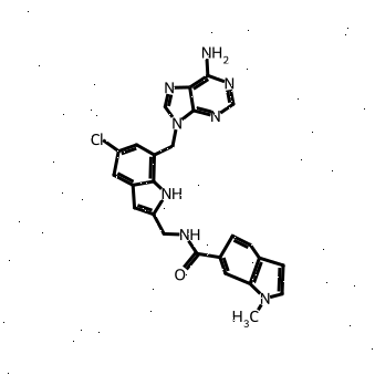 Cn1ccc2ccc(C(=O)NCc3cc4cc(Cl)cc(Cn5cnc6c(N)ncnc65)c4[nH]3)cc21